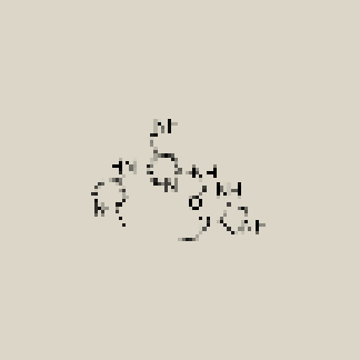 CCO[C@H]1CNC[C@@H]1NC(=O)Nc1cc(C=N)c(Nc2ccnc(C)c2)cn1